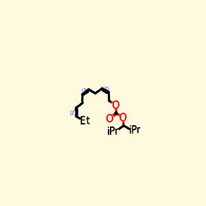 CC/C=C\C/C=C\C/C=C\COC(=O)OC(C(C)C)C(C)C